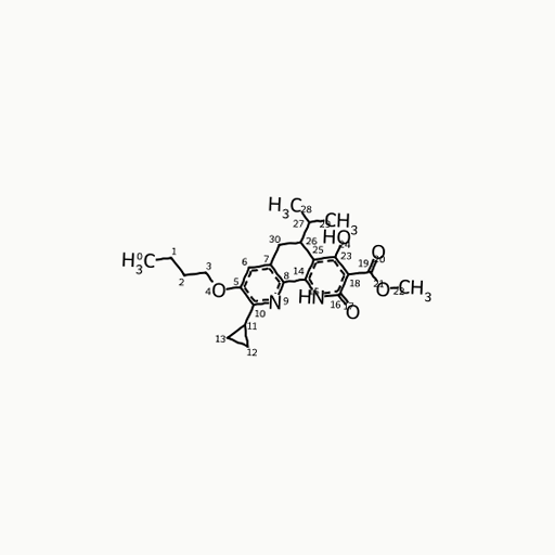 CCCCOc1cc2c(nc1C1CC1)-c1[nH]c(=O)c(C(=O)OC)c(O)c1C(C(C)C)C2